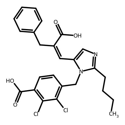 CCCCc1ncc(C=C(Cc2ccccc2)C(=O)O)n1Cc1ccc(C(=O)O)c(Cl)c1Cl